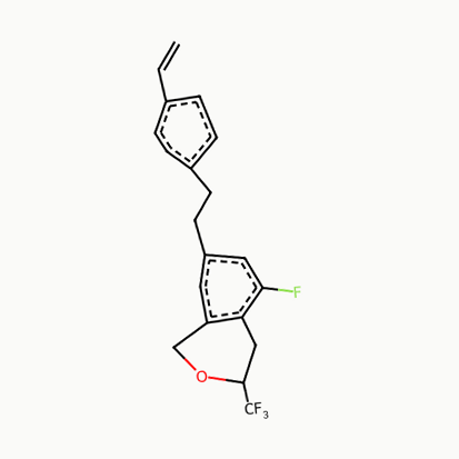 C=Cc1ccc(CCc2cc(F)c3c(c2)COC(C(F)(F)F)C3)cc1